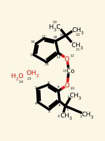 CC(C)(C)c1ccccc1[O][Co][O]c1ccccc1C(C)(C)C.O.O